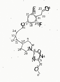 COCc1noc(N2CCC(C3CC3CCOc3cc(F)c(CC=O)c(F)c3)CC2)n1